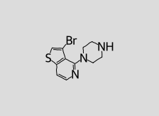 Brc1csc2ccnc(N3CCNCC3)c12